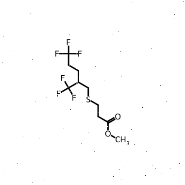 COC(=O)CCSCC(CCC(F)(F)F)C(F)(F)F